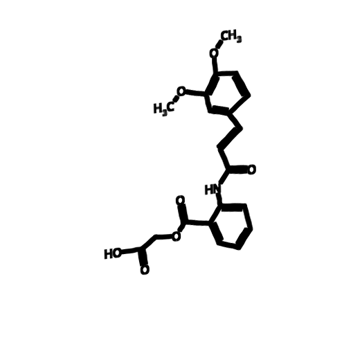 COc1ccc(C=CC(=O)Nc2ccccc2C(=O)OCC(=O)O)cc1OC